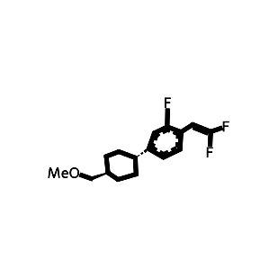 COC[C@H]1CC[C@H](c2ccc(C=C(F)F)c(F)c2)CC1